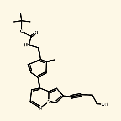 Cc1cc(-c2ccnn3cc(C#CCCO)cc23)ccc1CNC(=O)OC(C)(C)C